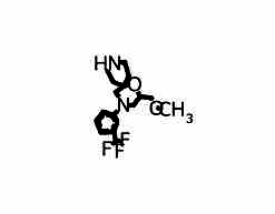 COCC1CN(c2cccc(C(F)(F)F)c2)CC2(CCNCC2)O1